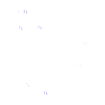 Cc1nc(N)nc(-c2ccc(S(C)(=O)=O)cc2)c1C#Cc1cncn1C